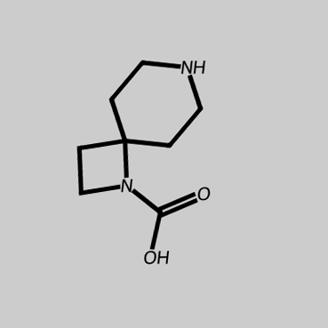 O=C(O)N1CCC12CCNCC2